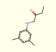 CCC(=O)CNc1cc(C)cc(C)c1